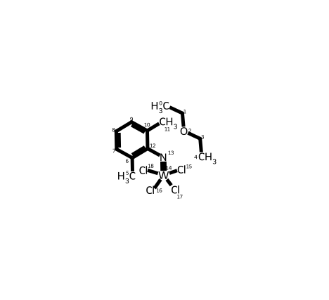 CCOCC.Cc1cccc(C)c1[N]=[W]([Cl])([Cl])([Cl])[Cl]